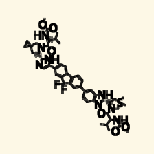 COC(=O)NC(C(=O)N1CS(C)(C)C[C@H]1c1nc2ccc(-c3ccc4c(c3)C(F)(F)c3cc(-c5cnc([C@@H]6CC7(CC7)CN6C(=O)[C@@H](NC(=O)OC)C(C)C)[nH]5)ccc3-4)cc2[nH]1)C(C)C